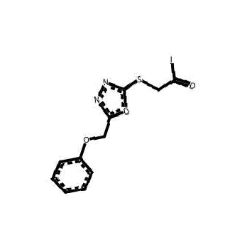 O=C(I)CSc1nnc(COc2ccccc2)o1